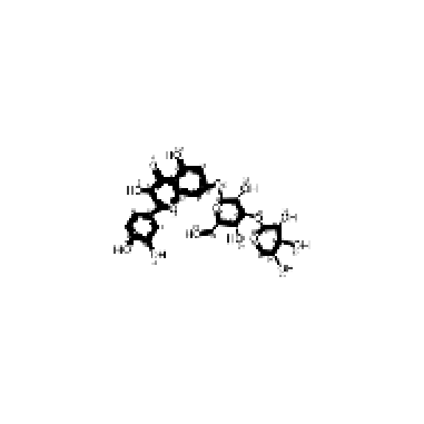 O=c1c(O)c(-c2ccc(O)c(O)c2)oc2cc(O[C@@H]3O[C@H](CO)[C@@H](O)[C@H](O[C@@H]4OC[C@H](O)[C@H](O)[C@H]4O)[C@H]3O)cc(O)c12